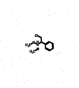 CO[SiH](OC)C(CCl)c1ccccc1